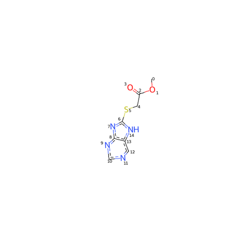 COC(=O)CSc1nc2ncncc2[nH]1